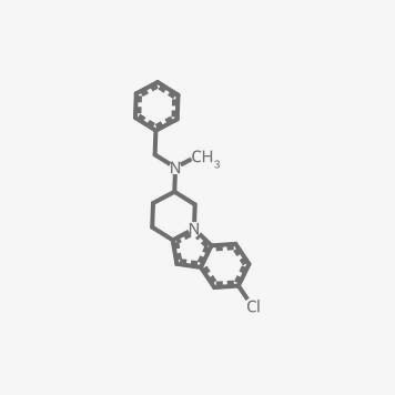 CN(Cc1ccccc1)C1CCc2cc3cc(Cl)ccc3n2C1